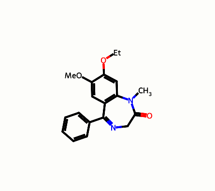 CCOc1cc2c(cc1OC)C(c1ccccc1)=NCC(=O)N2C